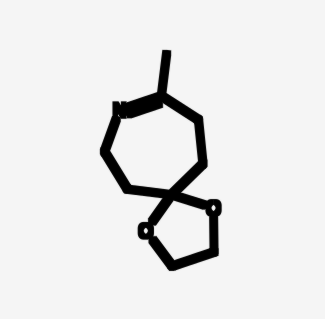 CC1=NCCC2(CC1)OCCO2